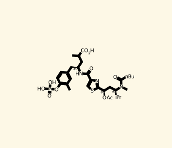 CCCCC(=O)N(C)[C@H](C[C@@H](OC(C)=O)c1nc(C(=O)N[C@@H](Cc2ccc(OP(=O)(O)O)c(C)c2)CC(C)C(=O)O)cs1)C(C)C